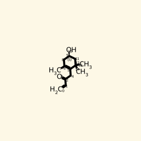 C=CC(=O)CC1=C(C)C[C@@H](O)CC1(C)C